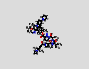 C=C/C(=C(\N=C/C)[C@H](C)OC)c1c(CC(C)(C)COC(=O)[C@@H]2CCCN(C(=O)[C@H](C)NC(=O)[C@H](C(C)C)N(C)C(=O)C3CCN(C(=O)C#CC(C)(C)N4CCC4)C3)N2)c2cc(N3CCCCC3)ccc2n1CC